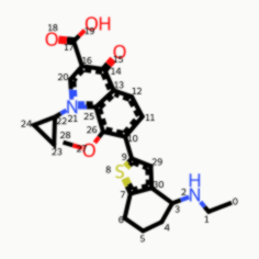 CCNC1CCCc2sc(-c3ccc4c(=O)c(C(=O)O)cn(C5CC5)c4c3OC)cc21